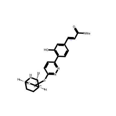 CNC(=O)/C=C/c1ccc(-c2ccc(S[C@@H]3C[C@H]4CC[C@@H]3CN4)nn2)c(O)c1